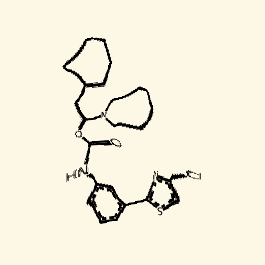 O=C(Nc1cccc(-c2nc(Cl)cs2)c1)OC(CC1CCCCC1)N1CCCCC1